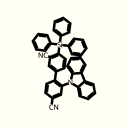 N#Cc1ccc(-c2ccc([Si](c3ccccc3)(c3ccccc3)c3ccccc3)c(C#N)c2)c(-n2c3ccccc3c3ccccc32)c1